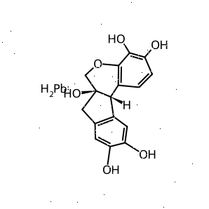 Oc1cc2c(cc1O)[C@H]1c3ccc(O)c(O)c3OC[C@@]1(O)C2.[PbH2]